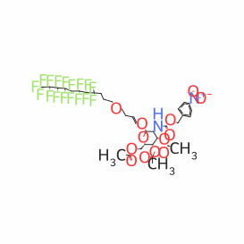 CC(=O)OC[C@H]1O[C@@H](OC=CCCOCCCC(F)(F)C(F)(F)C(F)(F)C(F)(F)C(F)(F)C(F)(F)C(F)(F)C(F)(F)F)[C@H](NC(=O)OCc2ccc([N+](=O)[O-])cc2)[C@@H](OC(C)=O)[C@@H]1OC(C)=O